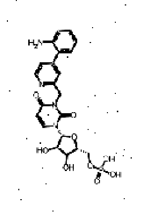 Nc1ccccc1-c1ccnc(Cn2c(=O)ccn([C@@H]3O[C@H](COP(=O)(O)O)C(O)C3O)c2=O)c1